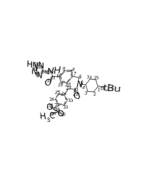 CC(C)(C)C1CCC(N(Cc2ccc(C(=O)Nc3nn[nH]n3)cc2)C(=O)Cc2ccc(S(C)(=O)=O)cc2)CC1